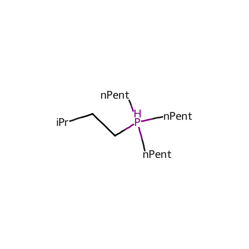 CCCCC[PH](CCCCC)(CCCCC)CCC(C)C